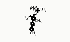 CCC(CC)(CP)COCCc1cc(C)c(-c2ccc(-c3ccc(C)cc3)cc2)cc1CP